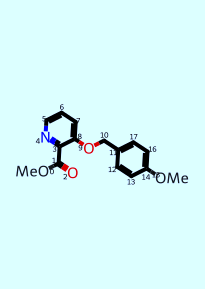 COC(=O)c1ncccc1OCc1ccc(OC)cc1